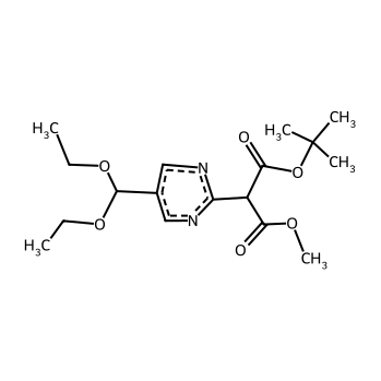 CCOC(OCC)c1cnc(C(C(=O)OC)C(=O)OC(C)(C)C)nc1